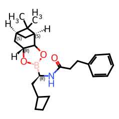 CC1(C)[C@H]2C[C@@H]1C1OB([C@H](CC3CCC3)NC(=O)CCc3ccccc3)O[C@@H]1C2